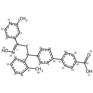 Cc1cc(/C(CC(c2ccc(-c3ccc(C(=O)O)cc3)cc2)c2ccccc2C)=N\O)ccn1